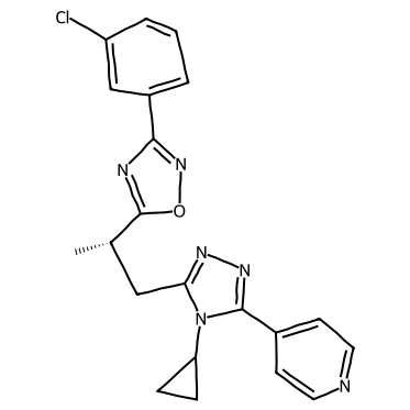 C[C@@H](Cc1nnc(-c2ccncc2)n1C1CC1)c1nc(-c2cccc(Cl)c2)no1